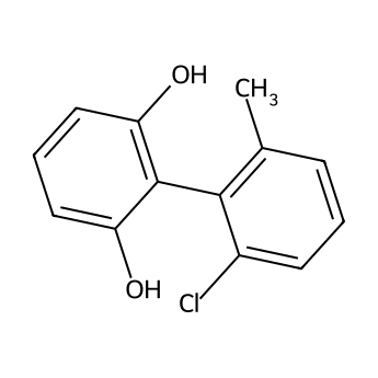 Cc1cccc(Cl)c1-c1c(O)cccc1O